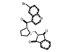 O=C1c2ccccc2C(=O)N1C[C@@H]1CCCN1C(=O)c1ccnc2ccc(Br)cc12